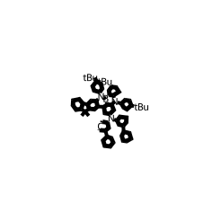 CC(C)(C)c1ccc(N2B3c4cc(C(C)(C)C)ccc4N(c4ccc(C(C)(C)C)cc4)c4cc(N(c5cccc(-c6ccccc6)c5)c5cccc(-c6ccccc6)c5)cc(c43)-c3cc4c(cc32)-c2ccccc2C4(C)C)cc1